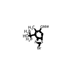 BC(B)(O)c1c(C)c(OC)cc2sc(Br)nc12